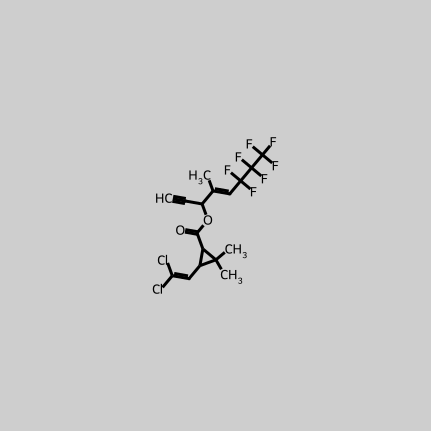 C#CC(OC(=O)C1C(C=C(Cl)Cl)C1(C)C)C(C)=CC(F)(F)C(F)(F)C(F)(F)F